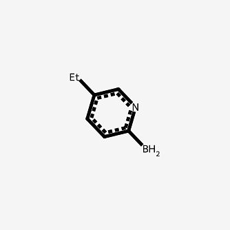 Bc1ccc(CC)cn1